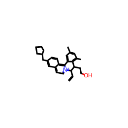 C=CC1C(CCO)c2c(C)cc(C)cc2-c2c3ccc(CC4CCCC4)cc3cc[n+]21